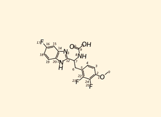 COc1ccc(CC(NC(=O)O)c2nc3cc(F)ccc3[nH]2)c(F)c1F